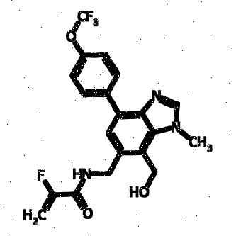 C=C(F)C(=O)NCc1cc(-c2ccc(OC(F)(F)F)cc2)c2ncn(C)c2c1CO